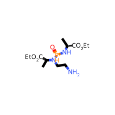 CCOC(=O)C(C)N(CCN)[PH](=O)N[C@@H](C)C(=O)OCC